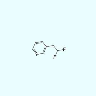 FC(F)Cc1c[c]ccc1